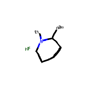 CCCCC1CCCCN1CC.F